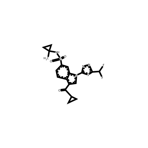 CC1(NS(=O)(=O)c2ccc3c(C(=O)C4CC4)cn(-c4nnc(C(F)F)s4)c3c2)CC1